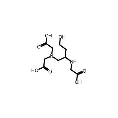 O=C(O)CNC(CCO)CN(CC(=O)O)CC(=O)O